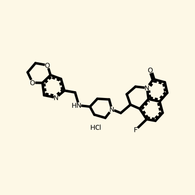 Cl.O=c1ccc2ccc(F)c3c2n1CCC3CN1CCC(NCc2cc3c(cn2)OCCO3)CC1